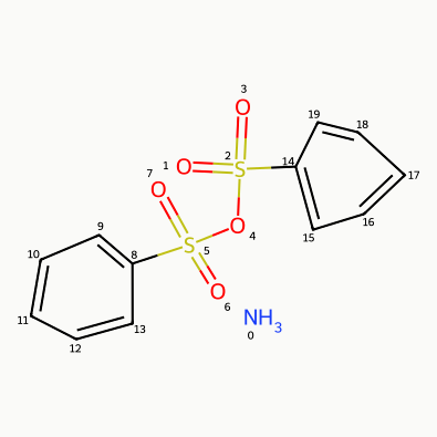 N.O=S(=O)(OS(=O)(=O)c1ccccc1)c1ccccc1